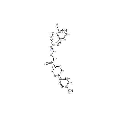 C[C@H](/C=C/COC(=O)N1CCN(c2ncc(C#N)cn2)CC1)Nc1cn[nH]c(=O)c1C(F)(F)F